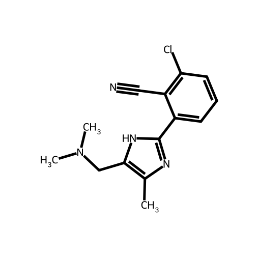 Cc1nc(-c2cccc(Cl)c2C#N)[nH]c1CN(C)C